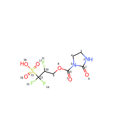 O=C1NCCN1C(=O)OCC(F)C(F)(F)S(=O)(=O)O